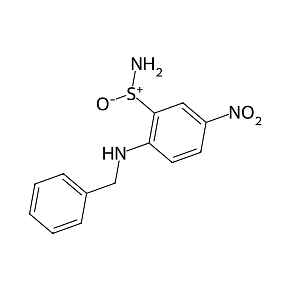 N[S+]([O-])c1cc([N+](=O)[O-])ccc1NCc1ccccc1